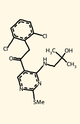 CSc1ncc(C(=O)Cc2c(Cl)cccc2Cl)c(NCC(C)(C)O)n1